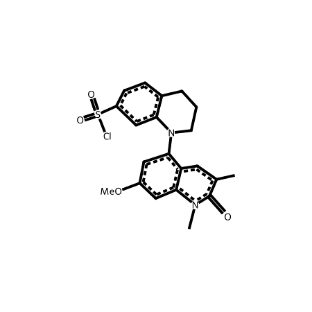 COc1cc(N2CCCc3ccc(S(=O)(=O)Cl)cc32)c2cc(C)c(=O)n(C)c2c1